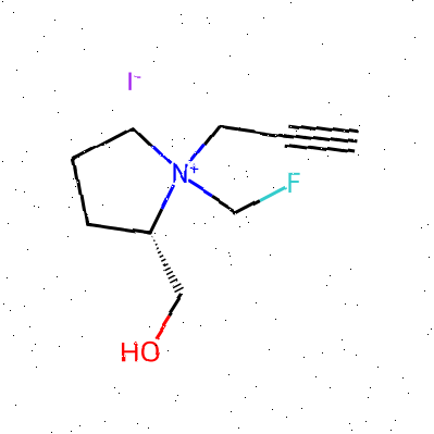 C#CC[N+]1(CF)CCC[C@H]1CO.[I-]